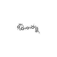 Cc1ccc(N)cc1Oc1ccc(C(C)(C)c2ccc(C(C)(C)c3ccc(Oc4cc(N)ccc4C)c(C)c3C)cc2)c(C)c1C